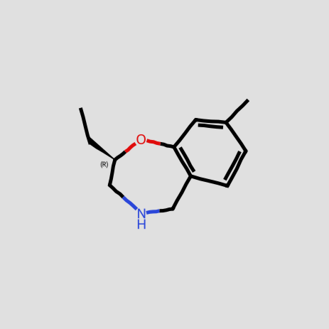 CC[C@@H]1CNCc2ccc(C)cc2O1